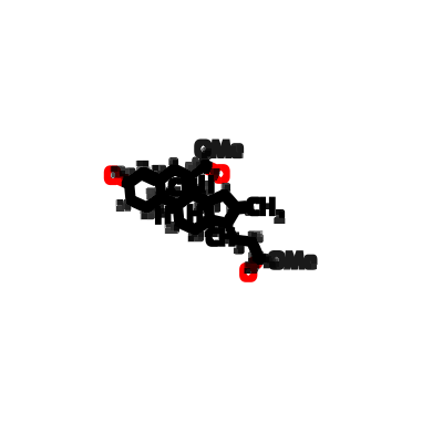 C=C1C[C@H]2[C@@H]3[C@H](C(=O)OC)CC4=CC(=O)CC[C@]4(C)[C@H]3CC[C@]2(C)[C@@H]1CCC(=O)OC